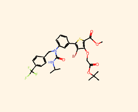 COC(=O)c1sc(-c2cccc(N(Cc3ccc(C(F)(F)F)cc3)C(=O)NC(C)C)c2)c(Br)c1OCC(=O)OC(C)(C)C